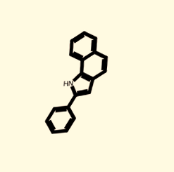 c1ccc(-c2cc3ccc4ccccc4c3[nH]2)cc1